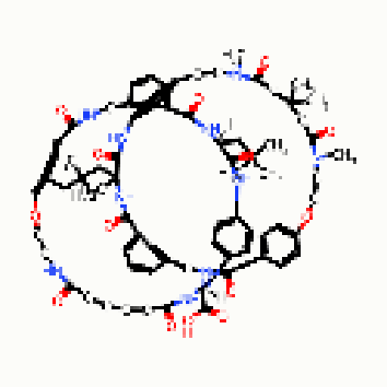 CN1CCOc2ccc(cc2)C(=O)NCc2cccc(c2)C(=O)NC(C)(CC(C)(C)Cc2cc3ccc2OCCNC(=O)CCCCC(=O)N[C@H](C(=O)O)Cc2ccc(cc2)NC(=O)[C@H](CC(C)(C)C)NC(=O)c2cccc(c2)CNC3=O)C(=O)Nc2ccc(cc2)CCN(C)C(=O)CC(C)(C)CC1=O